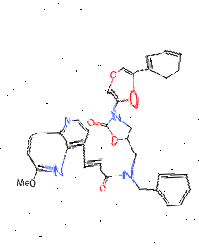 COc1ccc2nccc(/C=C/C(=O)N(Cc3ccccc3)CC3CN(C4=COC=C(C5=CC=CCC5)O4)C(=O)O3)c2n1